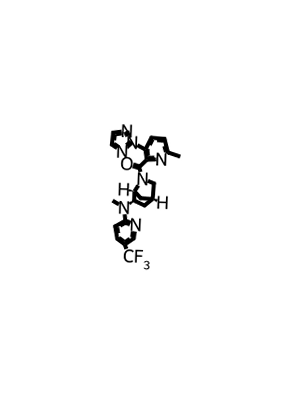 Cc1ccc(-n2nccn2)c(C(=O)N2C[C@@H]3C[C@@H](N(C)c4ccc(C(F)(F)F)cn4)[C@@H]2C3)n1